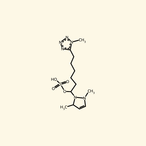 CC1C=CN(C)N1C(CCCCCc1nnnn1C)OS(=O)(=O)O